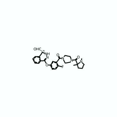 CN1CCCC1(C)C(=O)N1CCN(C(=O)c2cc(OC3=NN[C@@H](C=O)c4ccccc43)ccc2F)CC1